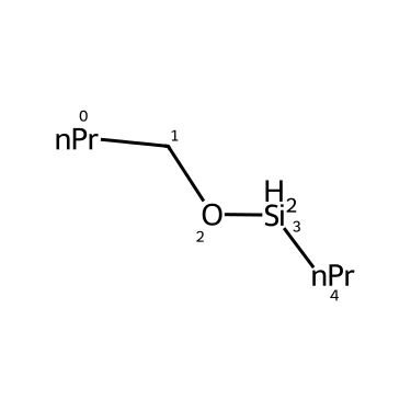 CCCCO[SiH2]CCC